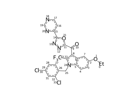 CCOc1ccc2c(c1)c(C(=O)c1nnc(-c3ccncn3)o1)c(C(F)(F)F)n2Cc1ccc(Cl)cc1Cl